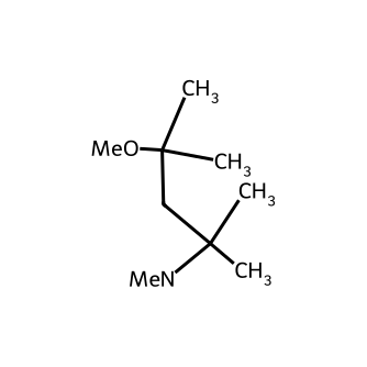 CNC(C)(C)CC(C)(C)OC